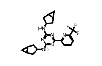 FC(F)(F)c1cccc(-c2nc(NC3CC4CC4C3)nc(NC3CC4CC4C3)n2)n1